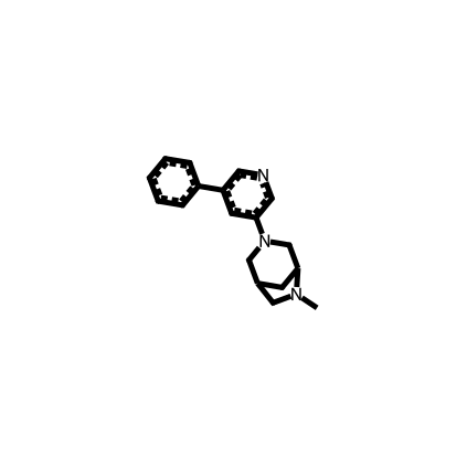 CN1CC2CC1CN(c1cncc(-c3ccccc3)c1)C2